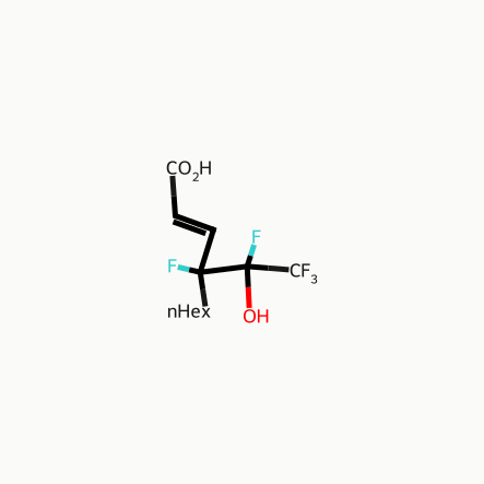 CCCCCCC(F)(C=CC(=O)O)C(O)(F)C(F)(F)F